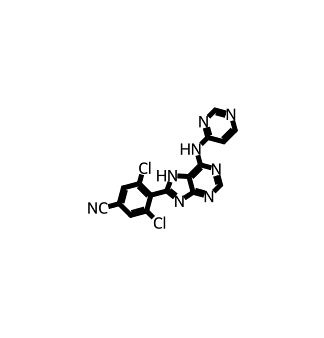 N#Cc1cc(Cl)c(-c2nc3ncnc(Nc4ccncn4)c3[nH]2)c(Cl)c1